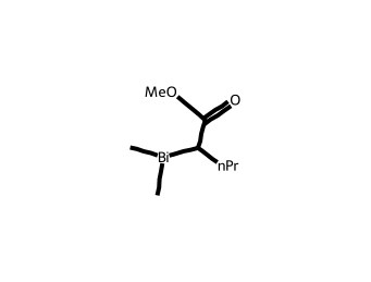 CCC[CH](C(=O)OC)[Bi]([CH3])[CH3]